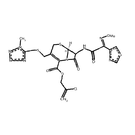 C=C(Cl)COC(=O)C1=C(CSc2nnnn2C)CS[C@H]2C(NC(=O)C(=NOC)c3cscn3)C(=O)N12